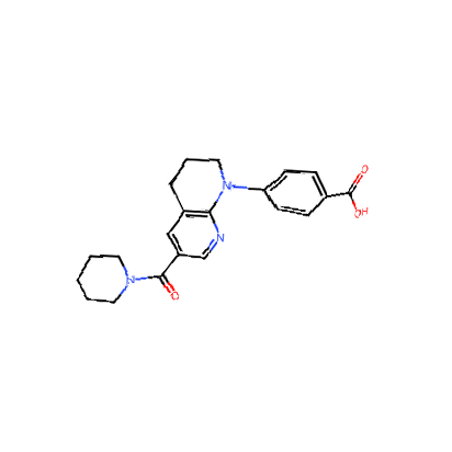 O=C(O)c1ccc(N2CCCc3cc(C(=O)N4CCCCC4)cnc32)cc1